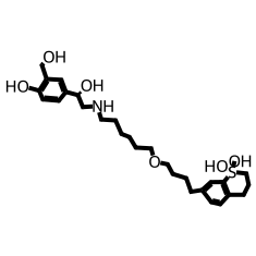 OCc1cc([C@@H](O)CNCCCCCCOCCCCc2ccc3c(c2)S(O)(O)CCC3)ccc1O